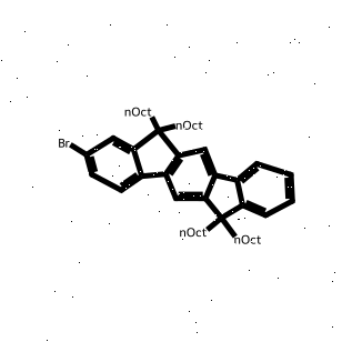 CCCCCCCCC1(CCCCCCCC)c2ccccc2-c2cc3c(cc21)-c1ccc(Br)cc1C3(CCCCCCCC)CCCCCCCC